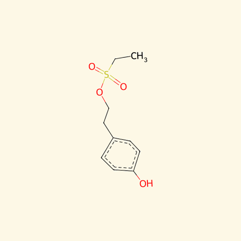 CCS(=O)(=O)OCCc1ccc(O)cc1